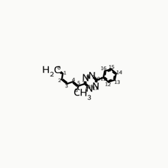 C=C/C=C\C=C(/C)c1nnc(-c2ccccc2)nn1